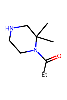 CCC(=O)N1CCNCC1(C)C